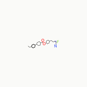 CCc1ccc(C2CCC(C(=O)OC3CCC(CC/C=C(/F)C#N)CC3)CC2)cc1